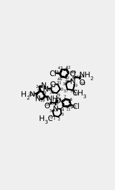 C[C@H]1CC[C@H](c2cccc(Cl)c2)N(C(=O)C(=O)Nc2cnc(N)c3cnn(C4CCCCO4)c23)C1.C[C@H]1CC[C@H](c2cccc(Cl)c2)N(C(=O)C(N)=O)C1